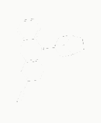 CN1C2CCC1CC(N1c3ccccc3Oc3cc(C#N)ccc31)C2